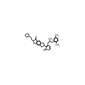 Cc1ccc(C)c(CC(C)CC2=C(C3Cc4cc5c(cc4C3)C(=O)C(CCC3CCCC3)C5)C(=O)CC=C2)c1